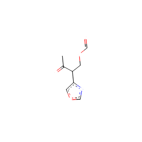 CC(=O)C(COC=O)c1cocn1